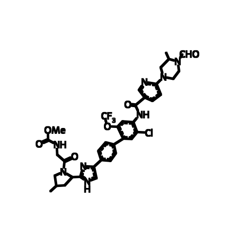 COC(=O)NCC(=O)N1CC(C)CC1c1nc(-c2ccc(-c3cc(Cl)c(NC(=O)c4ccc(N5CCN(C=O)C(C)C5)nc4)cc3OC(F)(F)F)cc2)c[nH]1